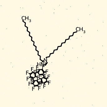 CCCCCCCCCCCCCCCCCCc1[nH+]ccn1CCCCCCCCCCCCCCCCC.Fc1c(F)c(F)c([B-](c2c(F)c(F)c(F)c(F)c2F)(c2c(F)c(F)c(F)c(F)c2F)c2c(F)c(F)c(F)c(F)c2F)c(F)c1F